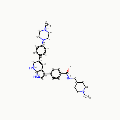 CN1CCC(CNC(=O)c2ccc(-c3c[nH]c4c3C=C(c3ccc(N5CCN(C)CC5)cc3)CN4)cc2)CC1